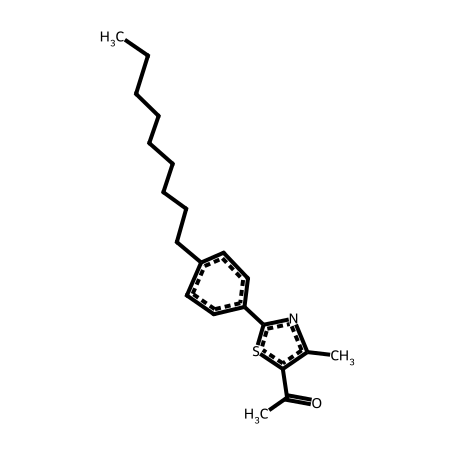 CCCCCCCCCc1ccc(-c2nc(C)c(C(C)=O)s2)cc1